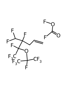 C=CCC(F)(C(F)F)C(F)(OC(F)(C(F)(F)F)C(F)(F)F)C(F)(F)F.O=C(F)OF